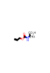 C=CCOC(=O)N[C@@H](CC)C(=O)O